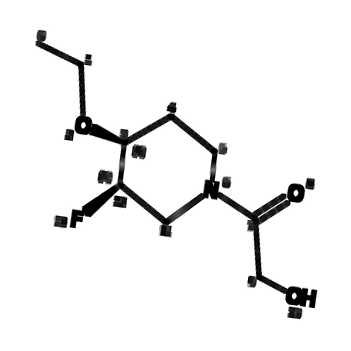 CCO[C@H]1CCN(C(=O)CO)C[C@H]1F